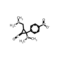 CN(C)CC1C(=C=O)C1(c1ccc([N+](=O)[O-])cc1)N(C)C